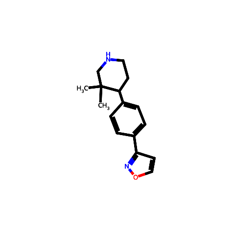 CC1(C)CNCCC1c1ccc(-c2ccon2)cc1